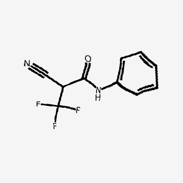 N#CC(C(=O)Nc1ccccc1)C(F)(F)F